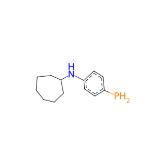 Pc1ccc(NC2CCCCCC2)cc1